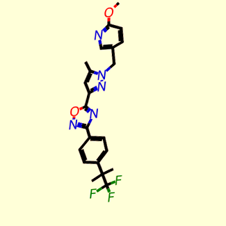 COc1ccc(Cn2nc(-c3nc(-c4ccc(C(C)(C)C(F)(F)F)cc4)no3)cc2C)cn1